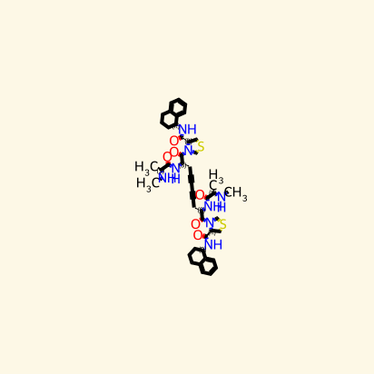 CN[C@@H](C)C(=O)N[C@@H](CC#CC#CC[C@H](NC(=O)[C@H](C)NC)C(=O)N1CSC[C@H]1C(=O)N[C@@H]1CCCc2ccccc21)C(=O)N1CSC[C@H]1C(=O)N[C@@H]1CCCc2ccccc21